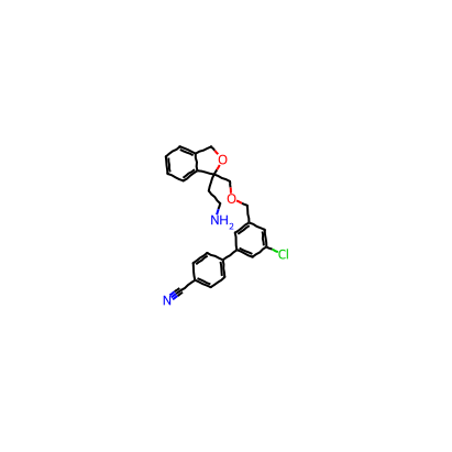 N#Cc1ccc(-c2cc(Cl)cc(COCC3(CCN)OCc4ccccc43)c2)cc1